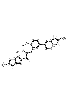 CCn1c(C(=O)N2CCOc3ccc(-c4ccc5nc(C)[nH]c5c4)cc3C2)cc2sc(C)cc21